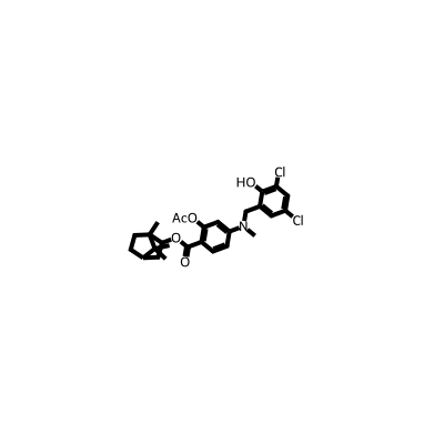 CC(=O)Oc1cc(N(C)Cc2cc(Cl)cc(Cl)c2O)ccc1C(=O)OC1CC2CCC1(C)C2(C)C